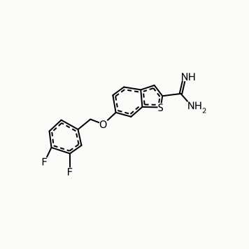 N=C(N)c1cc2ccc(OCc3ccc(F)c(F)c3)cc2s1